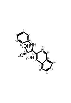 O=P(O)(O)C(Nc1ccccc1)c1cc2ccccc2cn1